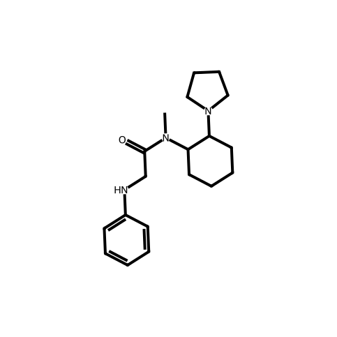 CN(C(=O)CNc1ccccc1)C1CCCCC1N1CCCC1